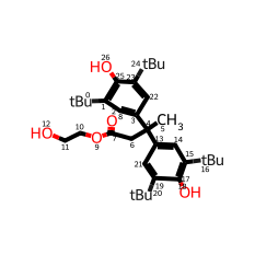 CC(C)(C)c1cc(C(C)(CC(=O)OCCO)c2cc(C(C)(C)C)c(O)c(C(C)(C)C)c2)cc(C(C)(C)C)c1O